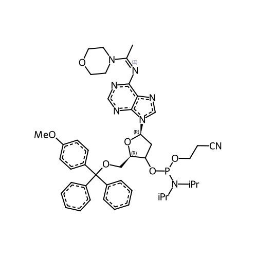 COc1ccc(C(OC[C@H]2O[C@@H](n3cnc4c(/N=C(/C)N5CCOCC5)ncnc43)CC2OP(OCCC#N)N(C(C)C)C(C)C)(c2ccccc2)c2ccccc2)cc1